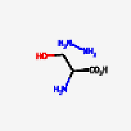 NN.N[C@@H](CO)C(=O)O